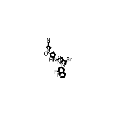 N#CC1CN(C(=O)[C@@H]2CC[C@@H](Nc3ncc4c(Br)cn(-c5cc(F)c6ncccc6c5)c4n3)C2)C1